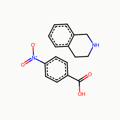 O=C(O)c1ccc([N+](=O)[O-])cc1.c1ccc2c(c1)CCNC2